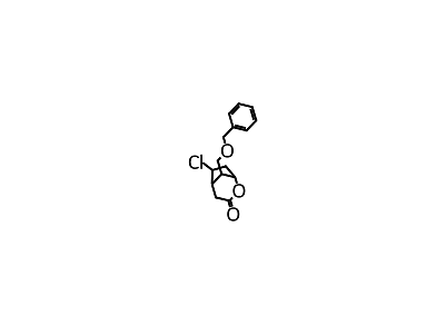 O=C1CC2C(Cl)CC(O1)C2COCc1ccccc1